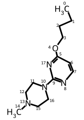 CCCCOc1ccnc(N2CCN(C)CC2)n1